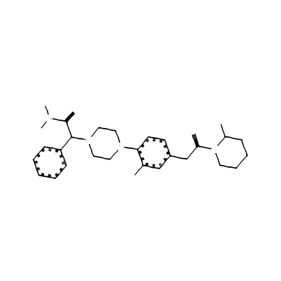 CCC1CCCCN1C(=O)Cc1ccc(N2CCN(C(C(=O)N(CC)CC)c3ccccc3)CC2)c(F)c1